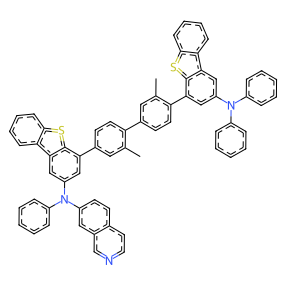 Cc1cc(-c2cc(N(c3ccccc3)c3ccc4ccncc4c3)cc3c2sc2ccccc23)ccc1-c1ccc(-c2cc(N(c3ccccc3)c3ccccc3)cc3c2sc2ccccc23)c(C)c1